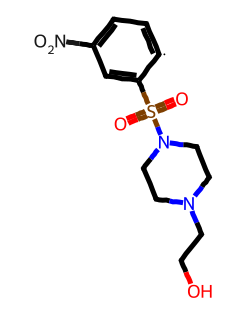 O=[N+]([O-])c1cc[c]c(S(=O)(=O)N2CCN(CCO)CC2)c1